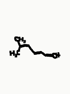 [CH]=CC=CC=C(C)C